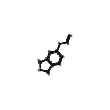 C=CCc1[c]c2c(cc1)OCO2